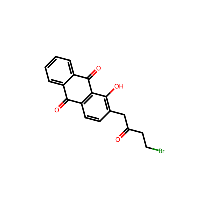 O=C(CCBr)Cc1ccc2c(c1O)C(=O)c1ccccc1C2=O